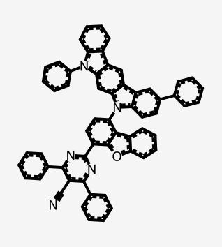 N#Cc1c(-c2ccccc2)nc(-c2ccc(-n3c4ccc(-c5ccccc5)cc4c4cc5c6ccccc6n(-c6ccccc6)c5cc43)c3c2oc2ccccc23)nc1-c1ccccc1